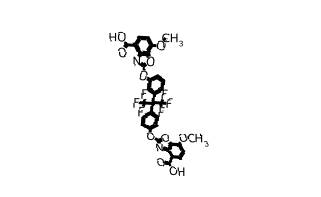 COc1ccc(C(=O)O)c2nc(Oc3ccc(C(c4cccc(Oc5nc6c(C(=O)O)ccc(OC)c6o5)c4)(C(F)(F)F)C(F)(F)F)cc3)oc12